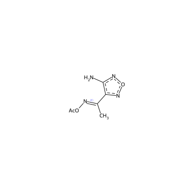 CC(=O)O/N=C(\C)c1nonc1N